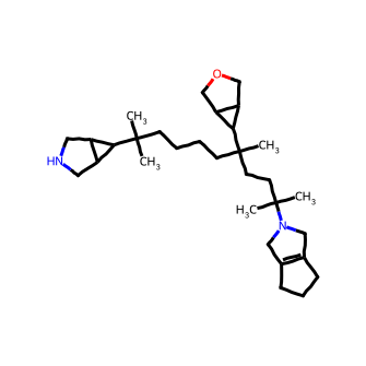 CC(C)(CCCCC(C)(CCC(C)(C)N1CC2=C(CCC2)C1)C1C2COCC21)C1C2CNCC21